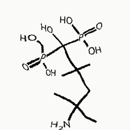 CC(C)(N)CC(C)(C)C(O)(P(=O)(O)O)P(=O)(O)O